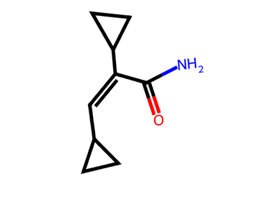 NC(=O)C(=CC1CC1)C1CC1